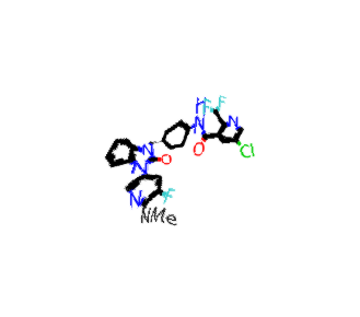 CNc1ncc(-n2c(=O)n(C[C@H]3CC[C@H](NC(=O)c4cc(Cl)cnc4C(F)F)CC3)c3ccccc32)cc1F